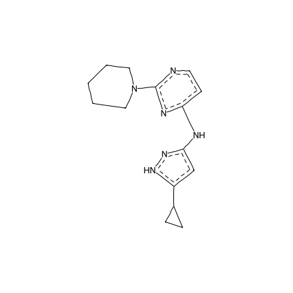 c1cc(Nc2cc(C3CC3)[nH]n2)nc(N2CCCCC2)n1